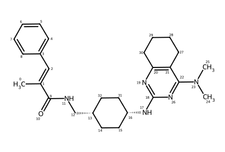 CC(=Cc1ccccc1)C(=O)NC[C@H]1CC[C@@H](Nc2nc3c(c(N(C)C)n2)CCCC3)CC1